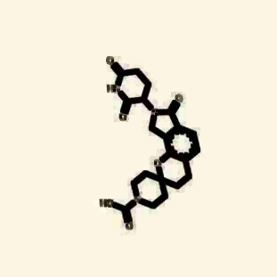 O=C1CCC(N2Cc3c(ccc4c3OC3(CC4)CCN(C(=O)O)CC3)C2=O)C(=O)N1